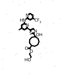 Cc1cc(Nc2cc(C(F)(F)F)ccn2)nc(-c2cnc(C3(O)CCCCC(C(=O)OCCO)CCC3)s2)c1